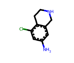 Nc1cc(Cl)c2c(c1)CNCC2